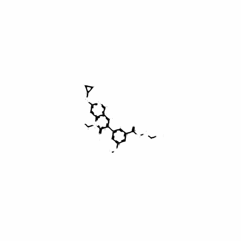 CCONC(=O)c1cc(OC)cc(-c2cc3cnc(NC4CC4)cc3n(CC)c2=O)c1